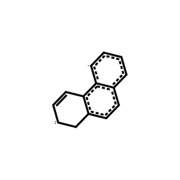 [C]1C=Cc2c(ccc3ccc[c]c23)C1